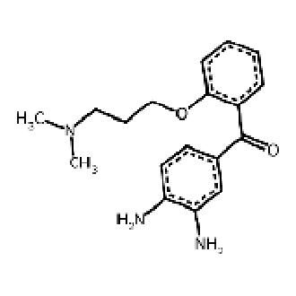 CN(C)CCCOc1ccccc1C(=O)c1ccc(N)c(N)c1